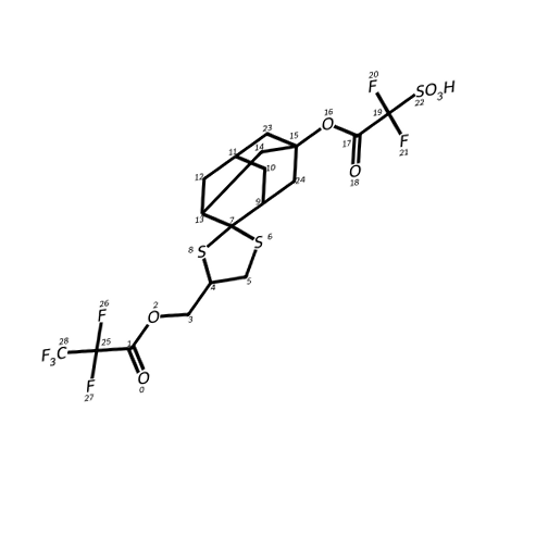 O=C(OCC1CSC2(S1)C1CC3CC2CC(OC(=O)C(F)(F)S(=O)(=O)O)(C3)C1)C(F)(F)C(F)(F)F